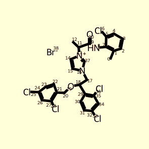 Cc1cccc(Cl)c1NC(=O)C(C)[n+]1ccn(CC(OCc2ccc(Cl)cc2Cl)c2ccc(Cl)cc2Cl)c1.[Br-]